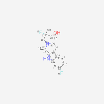 C[C@@H]1Cc2c([nH]c3cc(F)ccc23)[C@@H](C)N1CC(C)(F)CO